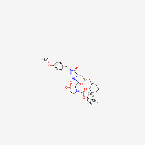 COc1ccc(CNC(=O)[C@H](CSCC2CCCCC2)NC(=O)C2N(C(=O)OC(C)(C)C)CCS2(=O)=O)cc1